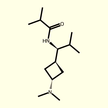 CC(C)C(=O)N[C@@H](C(C)C)[C@H]1C[C@H](N(C)C)C1